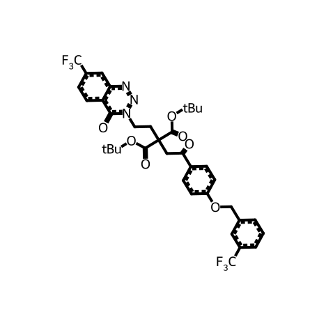 CC(C)(C)OC(=O)C(CCn1nnc2cc(C(F)(F)F)ccc2c1=O)(CC(=O)c1ccc(OCc2cccc(C(F)(F)F)c2)cc1)C(=O)OC(C)(C)C